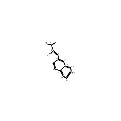 CC(C)/C(F)=C/c1ccc2ccccc2c1